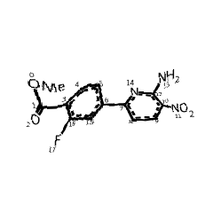 COC(=O)c1ccc(-c2ccc([N+](=O)[O-])c(N)n2)cc1F